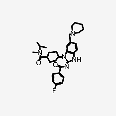 CC(C)N(C)C(=O)C1CCC(n2/c(=N\C(=O)c3ccc(F)cc3)[nH]c3ccc(CN4CCCCC4)cc32)CC1